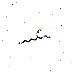 CCCCCC(CN=C=S)N=C=S